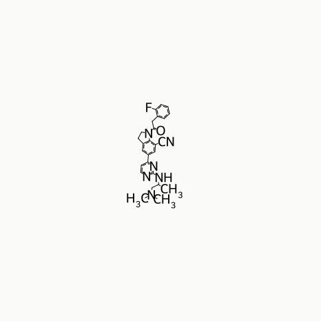 CC(CN(C)C)Nc1nccc(-c2cc(C#N)c3c(c2)CCN3C(=O)Cc2ccccc2F)n1